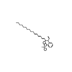 C=CC(C(=O)C=CC=CC=CCCCCCCCCCC)c1ccccc1OC(C)=O